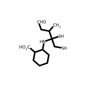 CC(CC=O)C(S)(CS)NC1CCCCC1C(=O)O